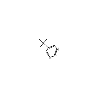 CC(C)(C)c1cn[c]nc1